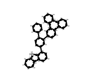 c1ccc(-c2ccc(-c3cccc4c3[nH]c3ccccc34)cc2-c2ccc3c4ccccc4c4ccccc4c3c2)cc1